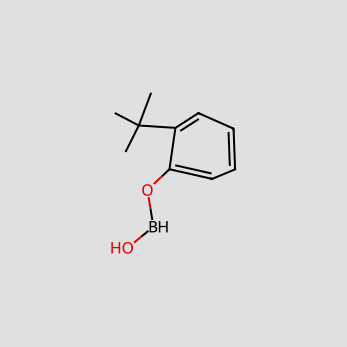 CC(C)(C)c1ccccc1OBO